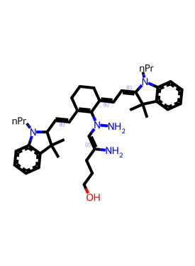 CCCN1/C(=C/C=C2\CCCC(/C=C/C3N(CCC)c4ccccc4C3(C)C)=C2N(N)/C=C(\N)CCCO)C(C)(C)c2ccccc21